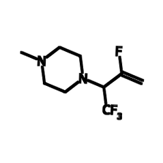 C=C(F)C(N1CCN(C)CC1)C(F)(F)F